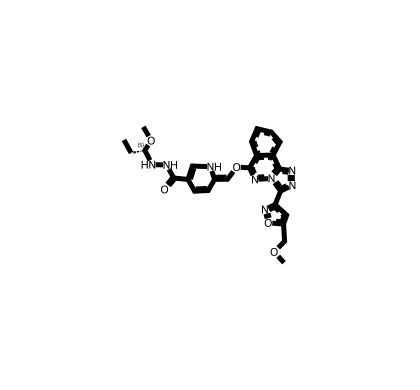 CC[C@@H](NNC(=O)C1=CNC(=COc2nn3c(-c4cc(COC)on4)nnc3c3ccccc23)C=C1)OC